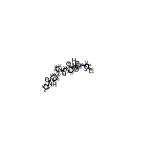 O=C(NC1CCCC1)N1CCN(C[C@@H]2CCCN2C(=O)CN2CCC[C@H](NS(=O)(=O)/C=C/c3ccc(Cl)s3)C2=O)CC1